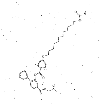 C=CC(=O)OCCCCCCCCCCCCOc1ccc(C(=O)Oc2cc(C(=O)OCC(C)Cl)ccc2-c2ccccc2)cc1